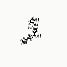 O=C(Nc1ccc(C(O)N2CC(c3nccs3)C2)s1)[C@@H]1CCCN1